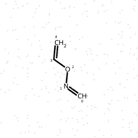 [CH]=NOC=C